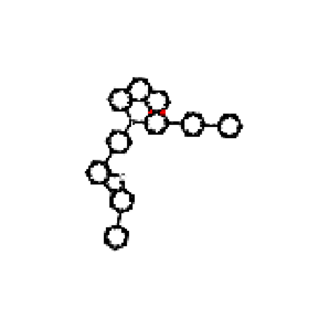 c1ccc(-c2ccc(-c3ccc(N(c4ccc(-c5cccc6c5oc5ccc(-c7ccccc7)cc56)cc4)c4cccc5ccc6ccccc6c45)cc3)cc2)cc1